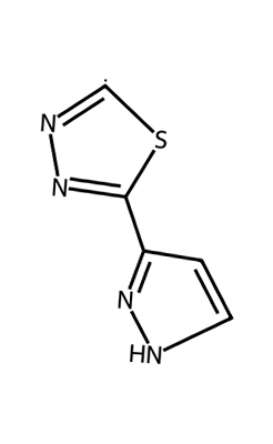 [c]1nnc(-c2cc[nH]n2)s1